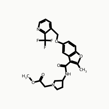 COC(=O)CN1CCC(NC(=O)c2c(C)oc3ccc(OCc4cccnc4C(F)(F)F)cc23)C1